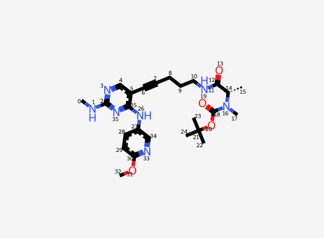 CNc1ncc(C#CCCCNC(=O)[C@H](C)N(C)C(=O)OC(C)(C)C)c(Nc2ccc(OC)nc2)n1